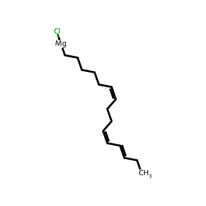 CC/C=C/C=C\CC/C=C\CCCC[CH2][Mg][Cl]